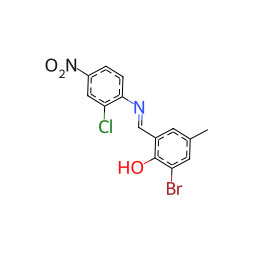 Cc1cc(Br)c(O)c(/C=N/c2ccc([N+](=O)[O-])cc2Cl)c1